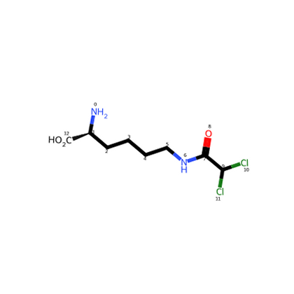 N[C@@H](CCCCNC(=O)C(Cl)Cl)C(=O)O